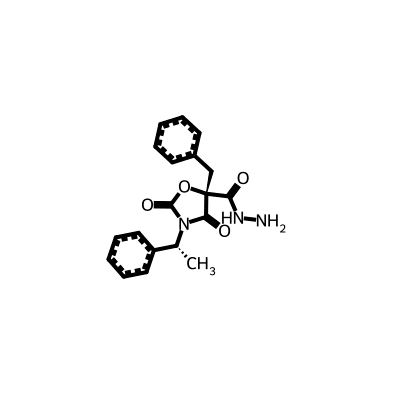 C[C@H](c1ccccc1)N1C(=O)O[C@](Cc2ccccc2)(C(=O)NN)C1=O